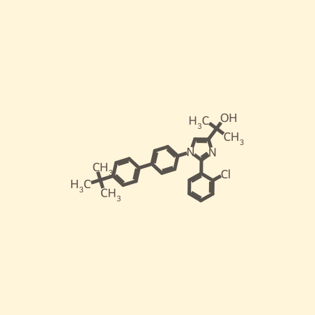 CC(C)(C)c1ccc(-c2ccc(-n3cc(C(C)(C)O)nc3-c3ccccc3Cl)cc2)cc1